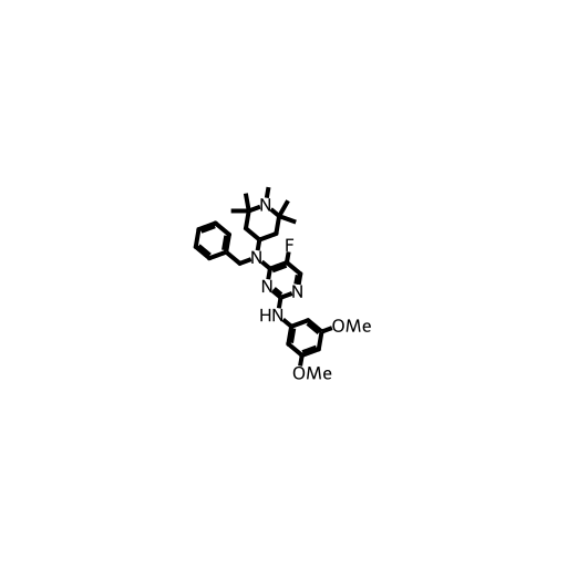 COc1cc(Nc2ncc(F)c(N(Cc3ccccc3)C3CC(C)(C)N(C)C(C)(C)C3)n2)cc(OC)c1